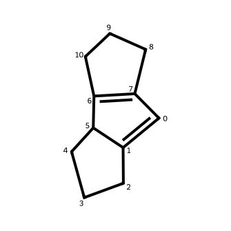 C1=C2CCCC2C2=C1CCC2